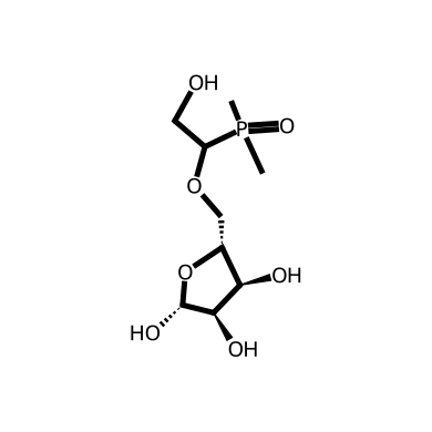 CP(C)(=O)C(CO)OC[C@H]1O[C@@H](O)[C@H](O)[C@@H]1O